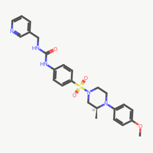 COc1ccc(N2CCN(S(=O)(=O)c3ccc(NC(=O)NCc4cccnc4)cc3)C[C@@H]2C)cc1